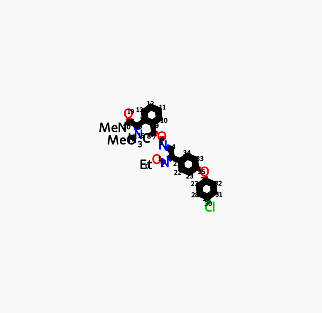 CCON=C(C=NOC(C)c1ccccc1C(=NOC)C(=O)NC)c1ccc(Oc2ccc(Cl)cc2)cc1